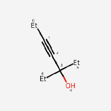 [CH2]CC#CC(O)(CC)CC